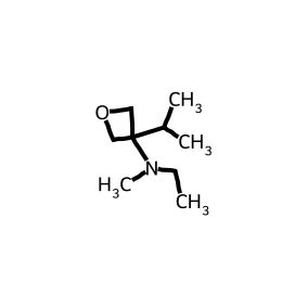 CCN(C)C1(C(C)C)COC1